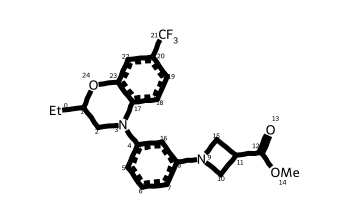 CCC1CN(c2cccc(N3CC(C(=O)OC)C3)c2)c2ccc(C(F)(F)F)cc2O1